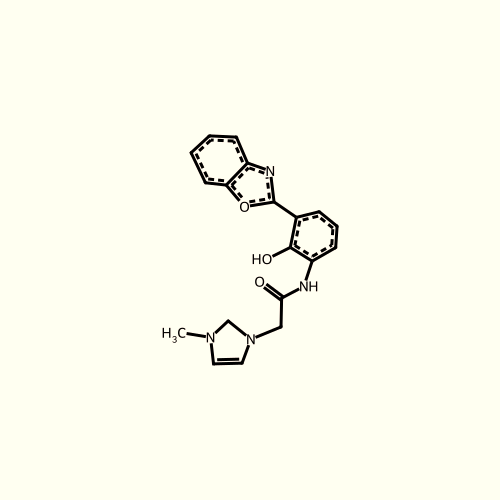 CN1C=CN(CC(=O)Nc2cccc(-c3nc4ccccc4o3)c2O)C1